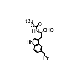 CC(C)Cc1ccc2[nH]cc(C[C@@H](C=O)NC(=O)OC(C)(C)C)c2c1